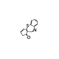 O=C1CC=CC2=C1C=Nc1ccccc1S2